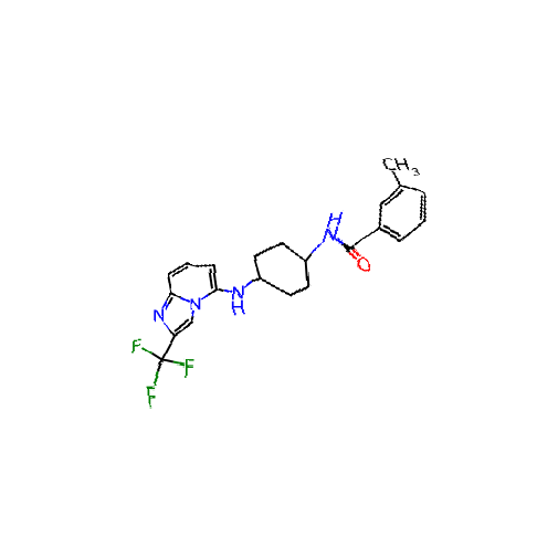 Cc1cccc(C(=O)NC2CCC(Nc3cccc4nc(C(F)(F)F)cn34)CC2)c1